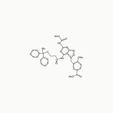 CC[C@@H](CCO[Si](c1ccccc1)(c1ccccc1)C(C)(C)C)Nc1nc(NC(=O)OC)nc2cnn(Cc3cc(C(=O)OC)ccc3OC)c12